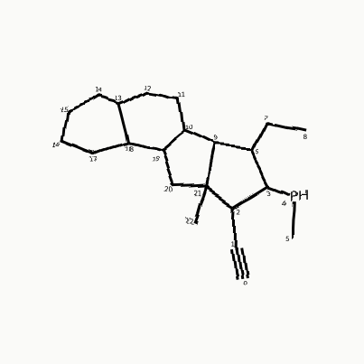 C#CC1C(PC)C(CC)C2C3CCC4CCCCC4C3CC12C